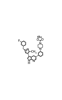 Cc1nn(Cc2cccc(F)c2)cc1-c1c[nH]c2ncc(-c3cccc(N4CCN(C(=O)OC(C)(C)C)CC4)c3)cc12